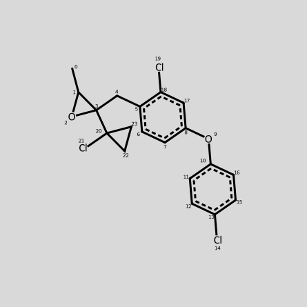 CC1OC1(Cc1ccc(Oc2ccc(Cl)cc2)cc1Cl)C1(Cl)CC1